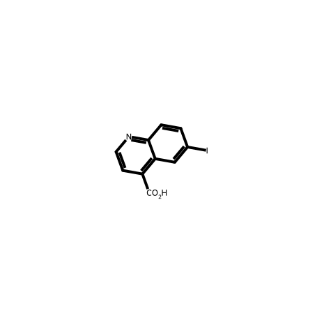 O=C(O)c1ccnc2ccc(I)cc12